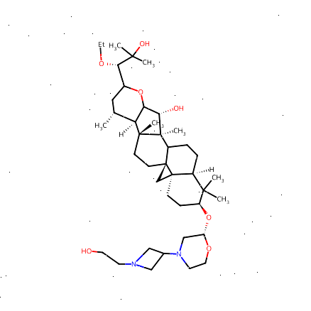 CCO[C@@H](C1C[C@@H](C)[C@H]2C(O1)[C@H](O)[C@@]1(C)C3CC[C@H]4C(C)(C)[C@@H](O[C@H]5CN(C6CN(CCO)C6)CCO5)CC[C@@]45C[C@@]35CC[C@]21C)C(C)(C)O